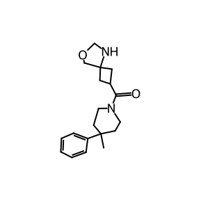 CC1(c2ccccc2)CCN(C(=O)C2CC3(COCN3)C2)CC1